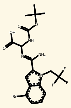 CC(C)(C)OC(=O)NC(N=C(N)c1cc2c(Br)cccc2n1CC(F)(F)F)C(=O)O